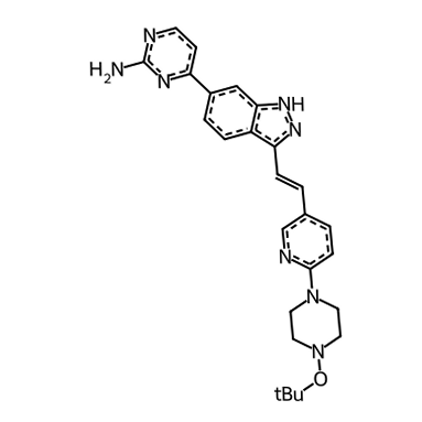 CC(C)(C)ON1CCN(c2ccc(C=Cc3n[nH]c4cc(-c5ccnc(N)n5)ccc34)cn2)CC1